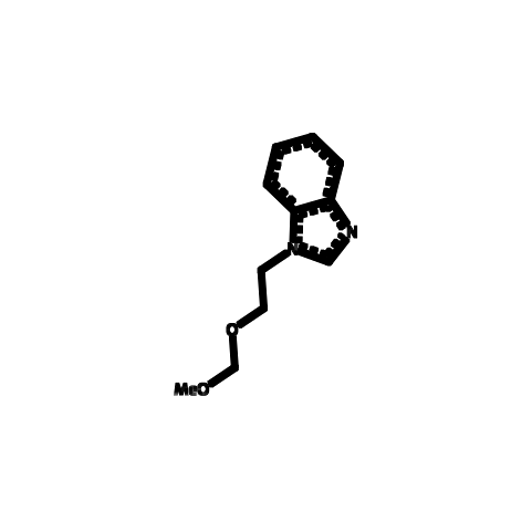 COCOCCn1cnc2ccccc21